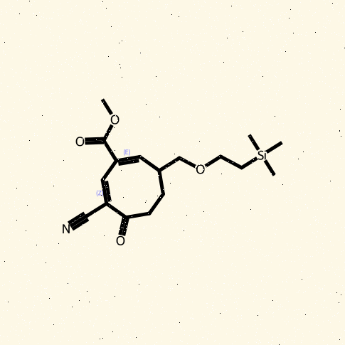 COC(=O)C1=C/C(COCC[Si](C)(C)C)CCC(=O)/C(C#N)=C\1